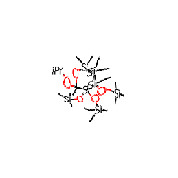 CC(C)OC1(C)O[Si](C)(C)[Si](C)(C)[Si](C)(O[Si](C)(C)C)[Si]1(O[Si](C)(C)C)O[Si](C)(C)C